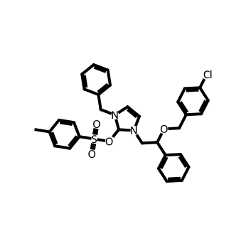 Cc1ccc(S(=O)(=O)OC2N(Cc3ccccc3)C=CN2CC(OCc2ccc(Cl)cc2)c2ccccc2)cc1